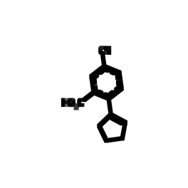 N#Cc1ccc(C2=CCCC2)c(C(=O)O)c1